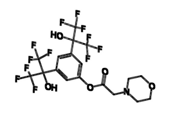 O=C(CN1CCOCC1)Oc1cc(C(O)(C(F)(F)F)C(F)(F)F)cc(C(O)(C(F)(F)F)C(F)(F)F)c1